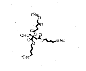 CCCCCCCCCCCCCCOC(=O)CC(CC=O)(OC(=O)CCC(=O)COCCCC)C(=O)OCCCCCCCCCCCCCC